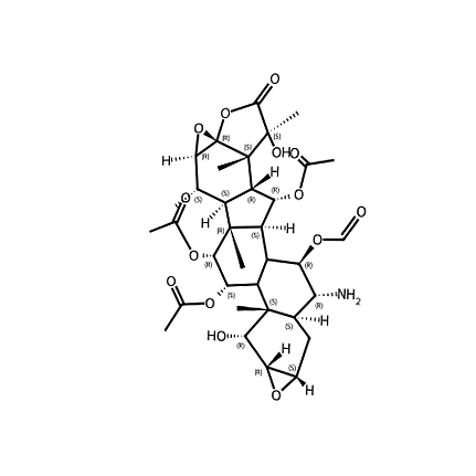 CC(=O)O[C@H]1[C@@H]2[C@H]([C@H](C)[C@H]3O[C@]34OC(=O)[C@@](C)(O)[C@]24C)[C@]2(C)[C@@H]1C1C([C@H](OC(C)=O)[C@@H]2OC(C)=O)[C@]2(C)[C@H](C[C@@H]3O[C@@H]3[C@@H]2O)[C@@H](N)[C@@H]1OC=O